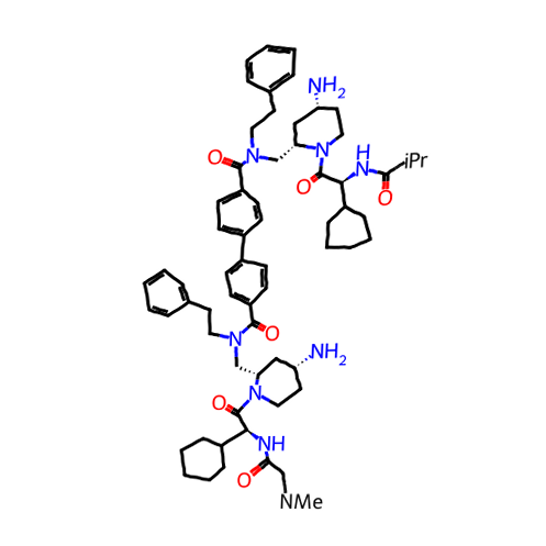 CNCC(=O)N[C@H](C(=O)N1CC[C@@H](N)C[C@H]1CN(CCc1ccccc1)C(=O)c1ccc(-c2ccc(C(=O)N(CCc3ccccc3)C[C@@H]3C[C@H](N)CCN3C(=O)[C@@H](NC(=O)C(C)C)C3CCCCC3)cc2)cc1)C1CCCCC1